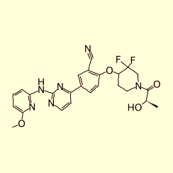 COc1cccc(Nc2nccc(-c3ccc(OC4CCN(C(=O)[C@@H](C)O)CC4(F)F)c(C#N)c3)n2)n1